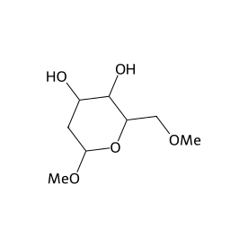 COCC1OC(OC)CC(O)C1O